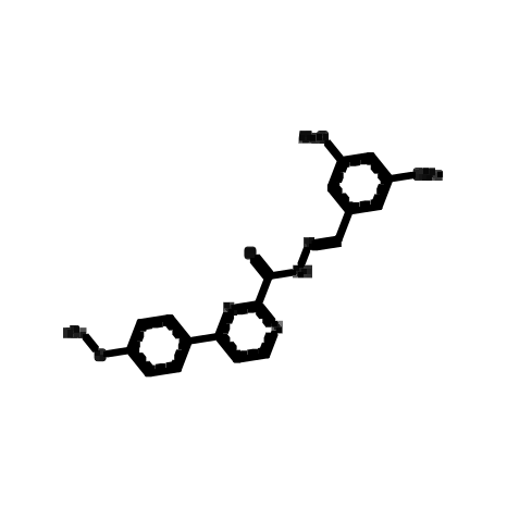 CCCCOc1ccc(-c2ccnc(C(=O)N/N=C/c3cc(OC)cc(OC)c3)n2)cc1